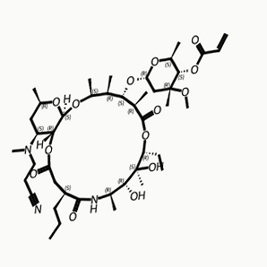 C=CC(=O)O[C@H]1[C@H](C)O[C@@H](O[C@H]2[C@H](C)[C@H](C)O[C@@H]3O[C@H](C)C[C@H](N(C)CCC#N)[C@H]3OC(=O)C[C@H](CCC)C(=O)N[C@H](C)[C@@H](O)[C@](C)(O)[C@@H](CC)OC(=O)[C@@H]2C)C[C@@]1(C)OC